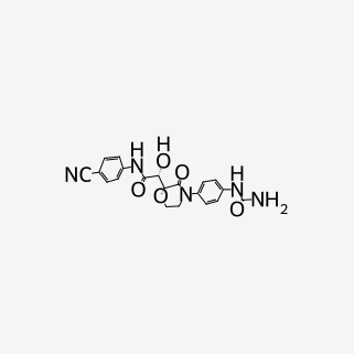 N#Cc1ccc(NC(=O)[C@H](O)[C@H]2OCCN(c3ccc(NC(N)=O)cc3)C2=O)cc1